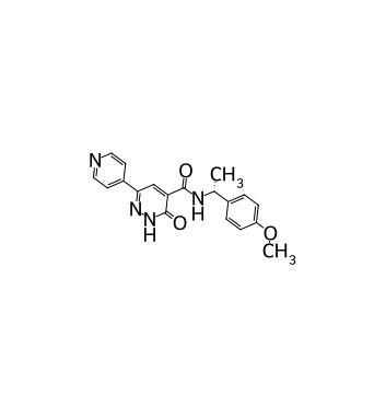 COc1ccc([C@@H](C)NC(=O)c2cc(-c3ccncc3)n[nH]c2=O)cc1